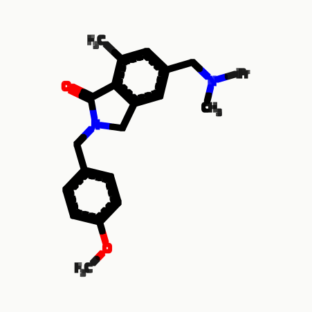 CC(C)N(C)Cc1cc2c(c(C(F)(F)F)c1)C(=O)N(Cc1ccc(OC(F)(F)F)cc1)C2